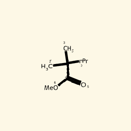 CCCC(C)(C)C(=O)OC